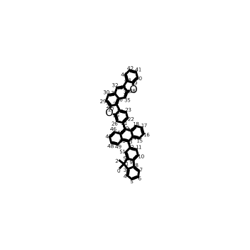 CC1(C)c2ccccc2-c2ccc(-c3c4ccccc4c(-c4ccc5c(c4)oc4ccc6cc7c(cc6c45)oc4ccccc47)c4ccccc34)cc21